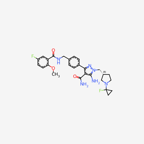 COc1ccc(F)cc1C(=O)NCc1ccc(-c2nn(C[C@@H]3CCN(C4(F)CC4)C3)c(N)c2C(N)=O)cc1